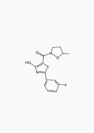 CC1CCN(C(=O)c2sc(-c3cccc(F)c3)nc2O)O1